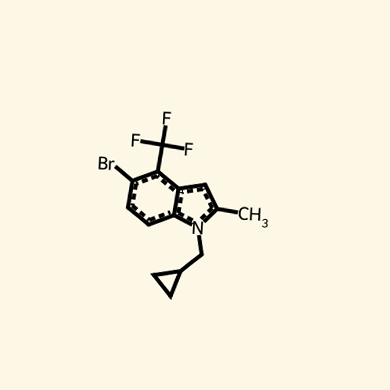 Cc1cc2c(C(F)(F)F)c(Br)ccc2n1CC1CC1